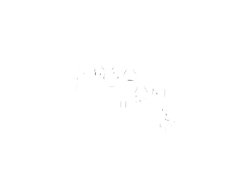 C=CC(=O)N1CCCC(Nc2cc(-c3cccc(N4CCn5c(cc6c5CC(C)(C)C6)C4=O)c3C)cn(C)c2=O)CC1